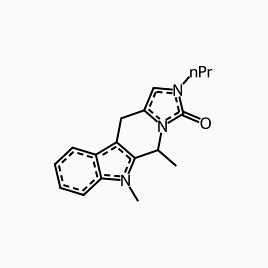 CCCn1cc2n(c1=O)C(C)c1c(c3ccccc3n1C)C2